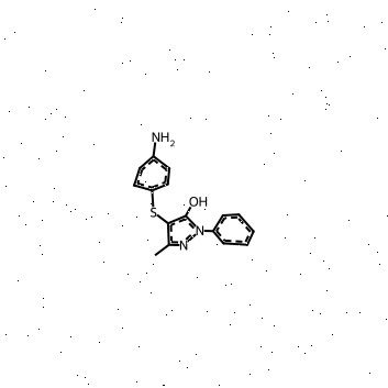 Cc1nn(-c2ccccc2)c(O)c1Sc1ccc(N)cc1